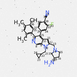 Cc1cc(C)c(-c2ncc3c(cc(CN4CC[C@H](N)C4)n3CC3CC3)c2-c2ccc(C#N)c(F)c2)cc1C